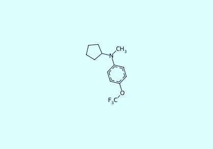 CN(c1ccc(OC(F)(F)F)cc1)C1CCCC1